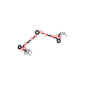 C=CC(=O)OC(COCCCCOCCOc1cccc(OCCOCCCCOCC(OC(=O)C(=C)C)c2ccccc2)c1)c1ccccc1